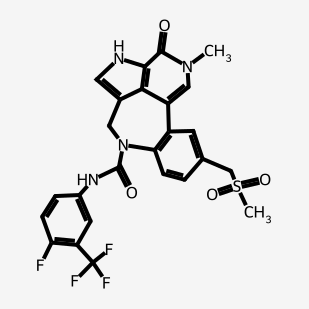 Cn1cc2c3c(c[nH]c3c1=O)CN(C(=O)Nc1ccc(F)c(C(F)(F)F)c1)c1ccc(CS(C)(=O)=O)cc1-2